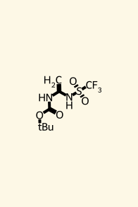 C=C(NC(=O)OC(C)(C)C)NS(=O)(=O)C(F)(F)F